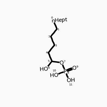 CCCCCCCCCCCC(O)OP(=O)(O)O